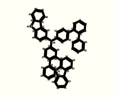 c1ccc(-c2ccccc2-c2ccc(N(c3ccc(-c4ccccc4)c(-c4cccc5c4sc4ccccc45)c3)c3ccc4oc5ccccc5c4c3)cc2)cc1